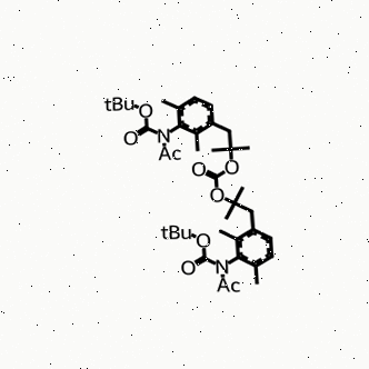 CC(=O)N(C(=O)OC(C)(C)C)c1c(C)ccc(CC(C)(C)OC(=O)OC(C)(C)Cc2ccc(C)c(N(C(C)=O)C(=O)OC(C)(C)C)c2C)c1C